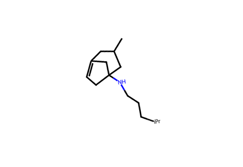 CC(C)CCCNC12CC=C(CC(C)C1)C2